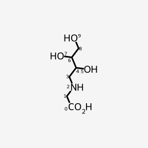 O=C(O)CNCC(O)C(O)CO